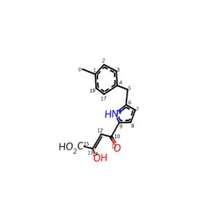 Cc1ccc(Cc2ccc(C(=O)/C=C(\O)C(=O)O)[nH]2)cc1